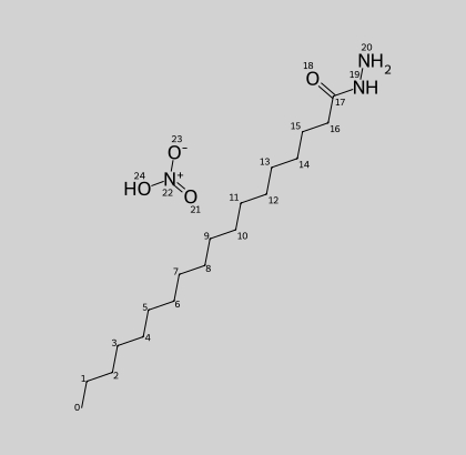 CCCCCCCCCCCCCCCCCC(=O)NN.O=[N+]([O-])O